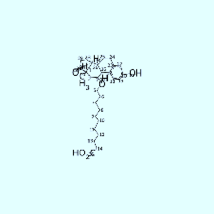 C[C@]12C[C@H](OCCCCCCCCCCC(=O)O)[C@@H]3c4ccc(O)cc4CC[C@H]3[C@@H]1CCC2=O